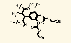 CCOC(=O)OC(C)C(C)C(c1ccc(OC(=O)OCC(C)(C)C)c(OC(=O)OCC(C)(C)C)c1)[C@H](N)C(=O)O